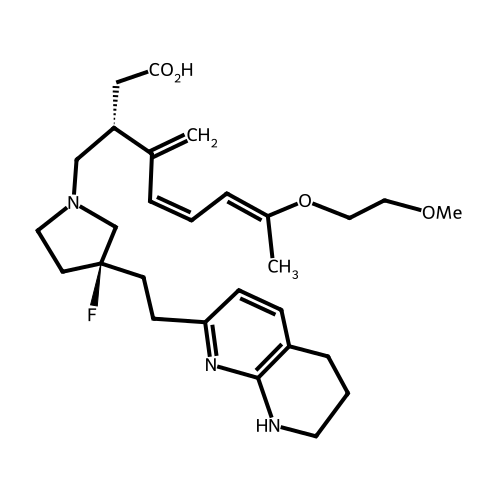 C=C(/C=C\C=C(/C)OCCOC)[C@@H](CC(=O)O)CN1CC[C@@](F)(CCc2ccc3c(n2)NCCC3)C1